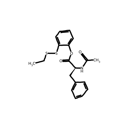 CCSSc1ccccc1OC(=O)[C@H](Cc1ccccc1)NC(C)=O